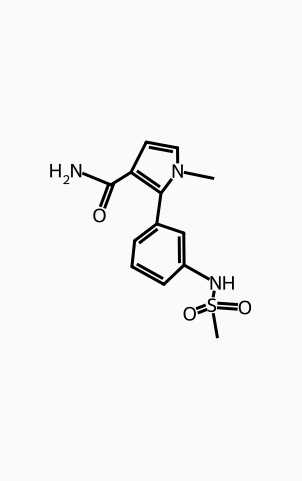 Cn1ccc(C(N)=O)c1-c1cccc(NS(C)(=O)=O)c1